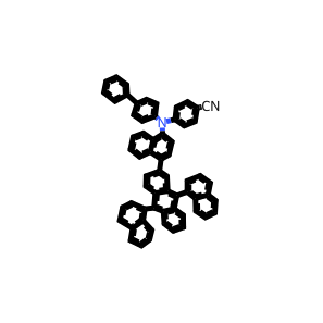 N#Cc1ccc(N(c2ccc(-c3ccccc3)cc2)c2ccc(-c3ccc4c(-c5cccc6ccccc56)c5ccccc5c(-c5cccc6ccccc56)c4c3)c3ccccc23)cc1